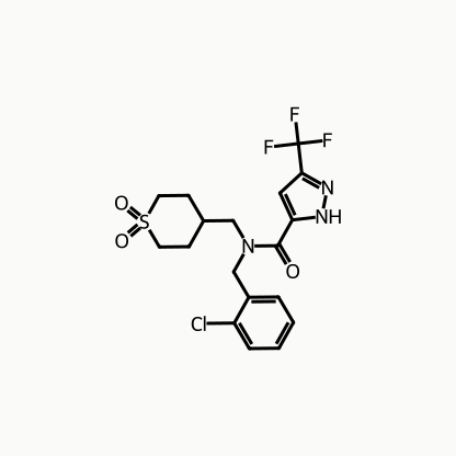 O=C(c1cc(C(F)(F)F)n[nH]1)N(Cc1ccccc1Cl)CC1CCS(=O)(=O)CC1